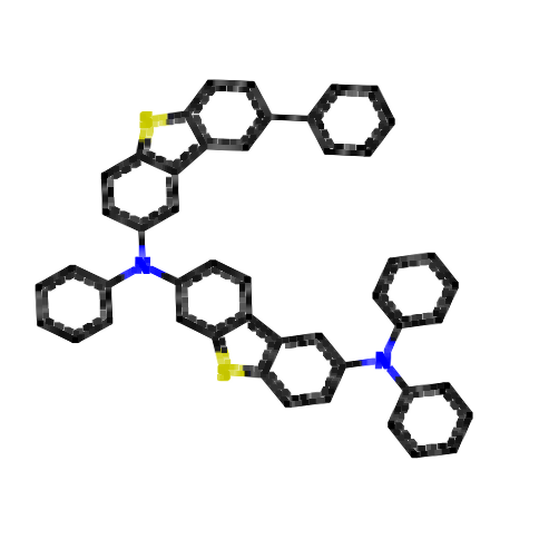 c1ccc(-c2ccc3sc4ccc(N(c5ccccc5)c5ccc6c(c5)sc5ccc(N(c7ccccc7)c7ccccc7)cc56)cc4c3c2)cc1